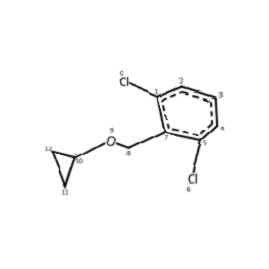 Clc1cccc(Cl)c1CO[C]1CC1